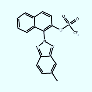 Cc1ccc2nn(-c3c(OS(=O)(=O)C(F)(F)F)ccc4ccccc34)nc2c1